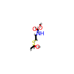 COC(=O)NCCSC(C)=O